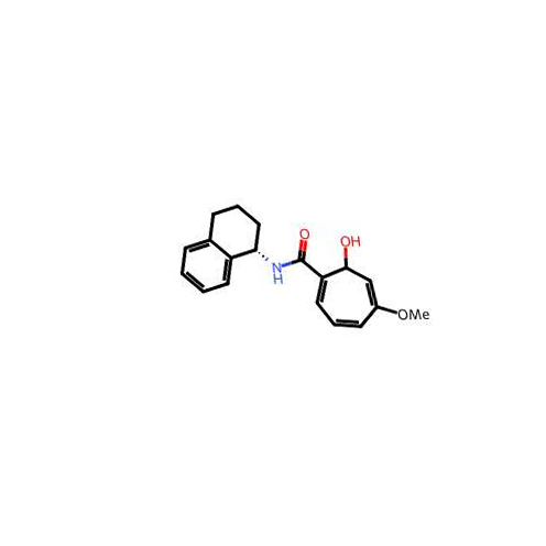 COC1=CC(O)C(C(=O)N[C@H]2CCCc3ccccc32)=CC=C1